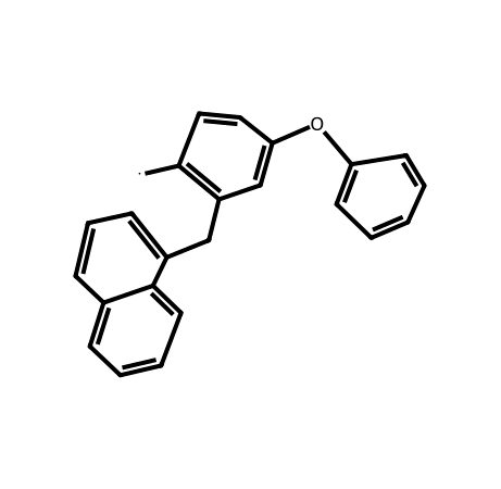 [CH2]c1ccc(Oc2ccccc2)cc1Cc1cccc2ccccc12